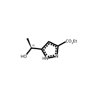 CCOC(=O)c1cc([C@H](C)O)[nH]n1